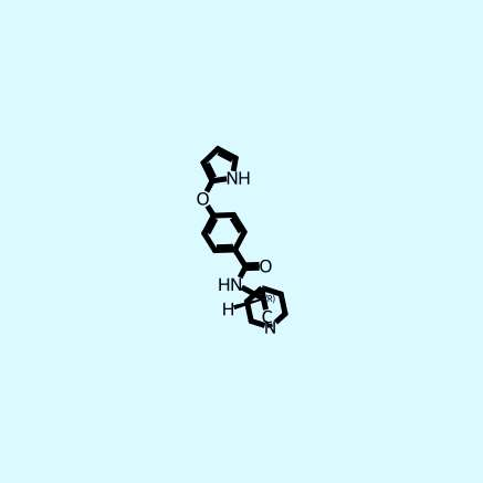 O=C(N[C@H]1CN2CCC1CC2)c1ccc(Oc2ccc[nH]2)cc1